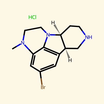 CN1CCN2c3c(cc(Br)cc31)[C@@H]1CNCC[C@@H]12.Cl